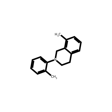 Cc1ccccc1N1CCc2cccc(C)c2C1